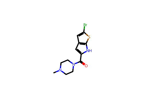 CN1CCN(C(=O)c2cc3cc(Br)sc3[nH]2)CC1